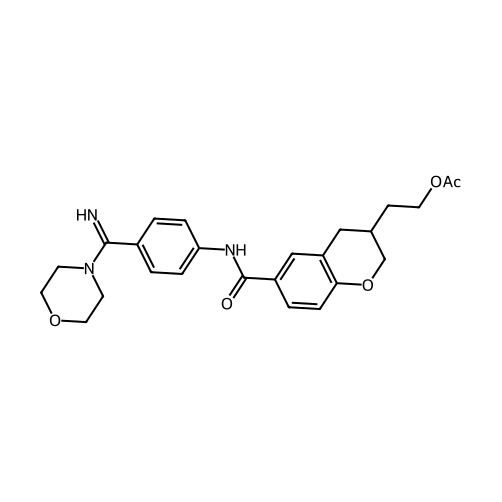 CC(=O)OCCC1COc2ccc(C(=O)Nc3ccc(C(=N)N4CCOCC4)cc3)cc2C1